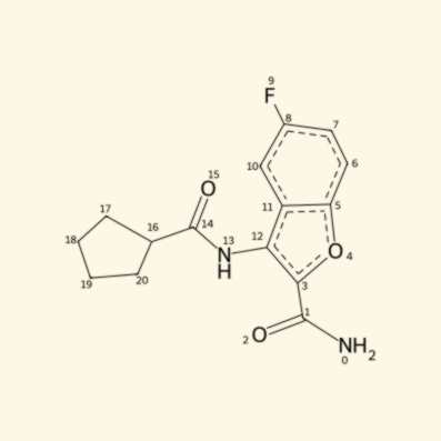 NC(=O)c1oc2ccc(F)cc2c1NC(=O)C1CCCC1